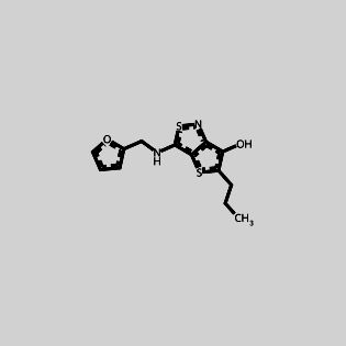 CCCc1sc2c(NCc3ccco3)snc2c1O